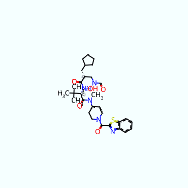 CN(C(=O)[C@@H](NC(=O)[C@H](CC1CCCC1)CN(O)C=O)C(C)(C)C)C1CCN(C(=O)c2nc3ccccc3s2)CC1